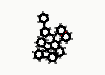 c1ccc(-c2cccc(N(c3ccccc3)c3c4c(c5ccccc5c3-c3ccccc3)C3(c5ccccc5-c5ccccc53)c3ccccc3-4)c2)cc1